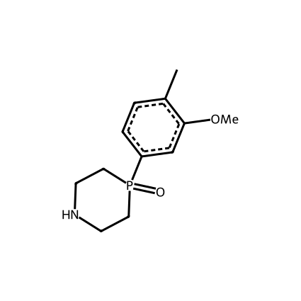 COc1cc(P2(=O)CCNCC2)ccc1C